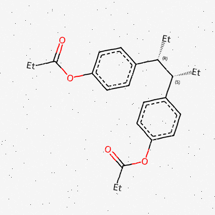 CCC(=O)Oc1ccc([C@@H](CC)[C@@H](CC)c2ccc(OC(=O)CC)cc2)cc1